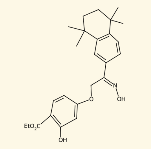 CCOC(=O)c1ccc(OCC(=NO)c2ccc3c(c2)C(C)(C)CCC3(C)C)cc1O